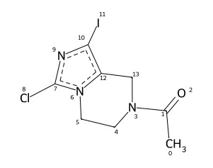 CC(=O)N1CCn2c(Cl)nc(I)c2C1